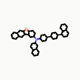 c1ccc2cc(N(c3ccc(-c4ccc(-c5cccc6ccccc56)cc4)cc3)c3ccc4oc5cc6ccccc6cc5c4c3)ccc2c1